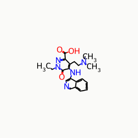 CCn1nc(C(=O)O)c(CCN(C)C)c(Nc2cncc3ccccc23)c1=O